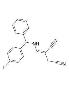 N#CCC(C#N)=CNC(c1ccccc1)c1ccc(F)cc1